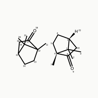 CC1(C)[C@@H]2CC[C@@]1(C)C(=O)C2.CC12CCC(CC1=O)C2(C)C